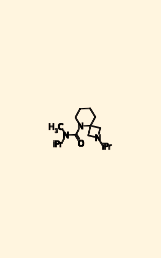 CC(C)N1CC2(CCCCN2C(=O)N(C)C(C)C)C1